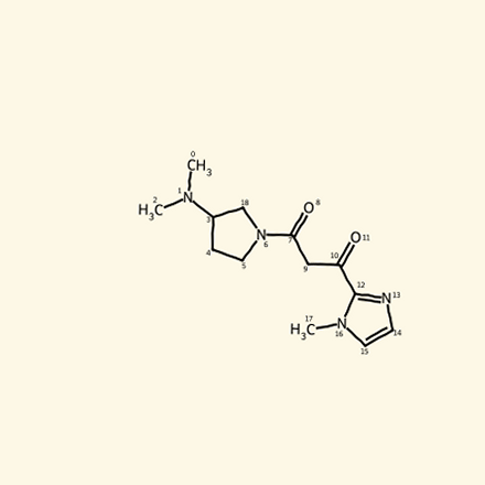 CN(C)C1CCN(C(=O)CC(=O)c2nccn2C)C1